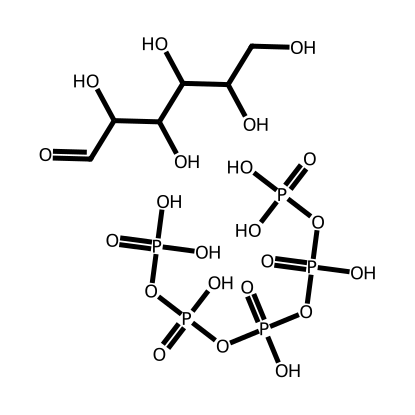 O=CC(O)C(O)C(O)C(O)CO.O=P(O)(O)OP(=O)(O)OP(=O)(O)OP(=O)(O)OP(=O)(O)O